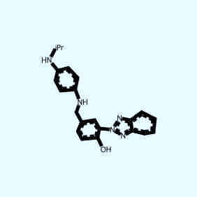 CC(C)Nc1ccc(NCc2ccc(O)c(-n3nc4ccccc4n3)c2)cc1